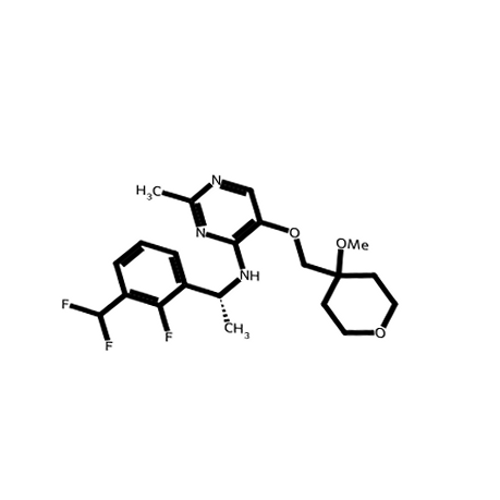 COC1(COc2cnc(C)nc2N[C@H](C)c2cccc(C(F)F)c2F)CCOCC1